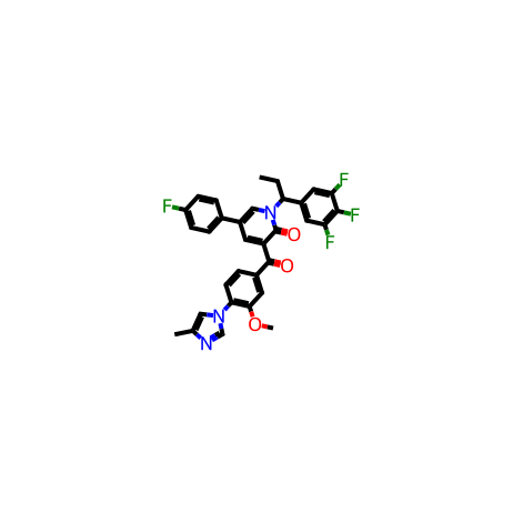 CCC(c1cc(F)c(F)c(F)c1)n1cc(-c2ccc(F)cc2)cc(C(=O)c2ccc(-n3cnc(C)c3)c(OC)c2)c1=O